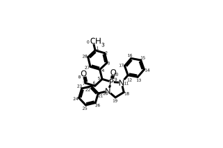 Cc1ccc(C(CC=O)P2(=O)N(c3ccccc3)CCN2c2ccccc2)cc1